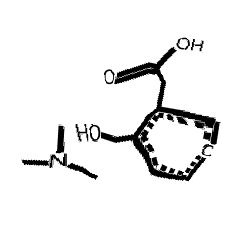 CN(C)C.O=C(O)c1ccccc1O